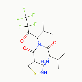 CC(C)C(C(=O)C(F)(F)C(F)(F)F)N(C(=O)C1CNSC1)C(=O)[C@@H](N)C(C)C